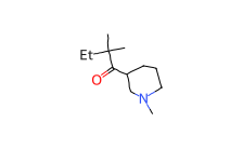 CCC(C)(C)C(=O)C1CCCN(C)C1